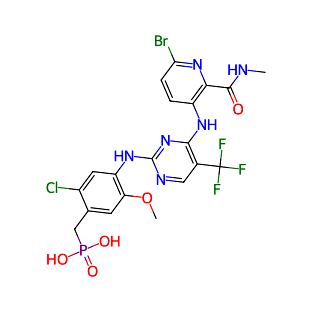 CNC(=O)c1nc(Br)ccc1Nc1nc(Nc2cc(Cl)c(CP(=O)(O)O)cc2OC)ncc1C(F)(F)F